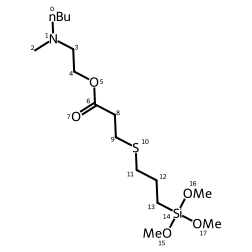 CCCCN(C)CCOC(=O)CCSCCC[Si](OC)(OC)OC